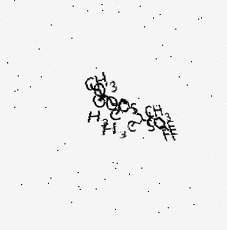 CCCC(CCSc1ccc(OCC(=O)OCC)c(C)c1)c1sc2cc(C(F)(F)F)ccc2c1C